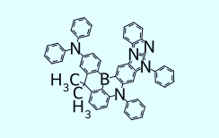 CC1(C)c2cc(N(c3ccccc3)c3ccccc3)ccc2B2c3cc4c(cc3N(c3ccccc3)c3cccc1c32)n(-c1ccccc1)c1nc2ccccc2n41